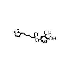 O=C(CCCCC1CCSS1)Oc1ccc(O)c(O)c1